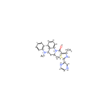 CC(=O)N(c1ccccc1)C1CC(C)N(C(=O)c2sc(-c3cnccn3)nc2C)c2ccccc21